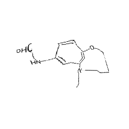 CN1CCCOc2ccc(NC=O)cc21